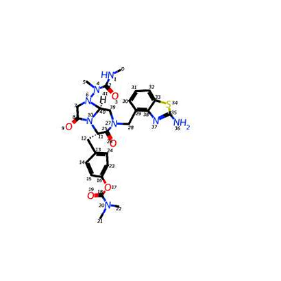 CNC(=O)N(C)N1CC(=O)N2[C@@H](Cc3ccc(OC(=O)N(C)C)cc3)C(=O)N(Cc3cccc4sc(N)nc34)C[C@@H]21